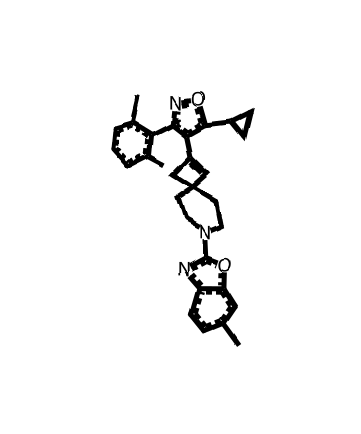 Cc1ccc2nc(N3CCC4(C=C(c5c(-c6c(C)cccc6C)noc5C5CC5)C4)CC3)oc2c1